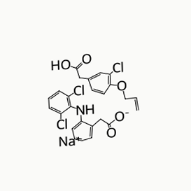 C=CCOc1ccc(CC(=O)O)cc1Cl.O=C([O-])Cc1ccccc1Nc1c(Cl)cccc1Cl.[Na+]